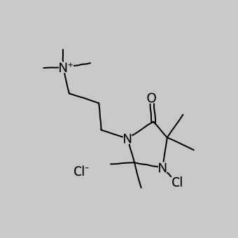 CC1(C)C(=O)N(CCC[N+](C)(C)C)C(C)(C)N1Cl.[Cl-]